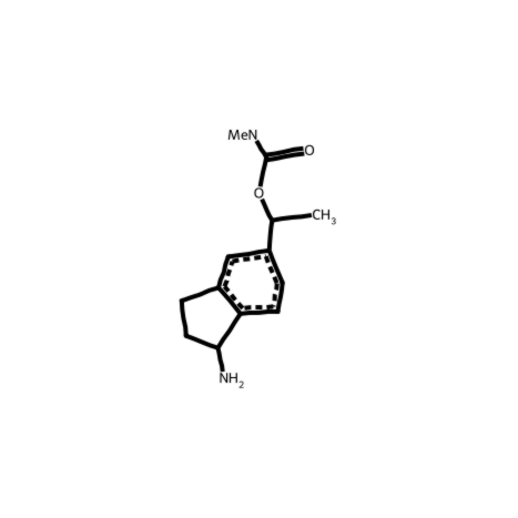 CNC(=O)OC(C)c1ccc2c(c1)CCC2N